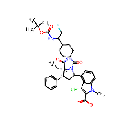 CC[C@@]1(C(N)=O)[C@@H](c2ccccc2)CC(c2cccc3c2c(Cl)c(C(=O)O)n3C)N1C(=O)[C@H]1CC[C@H](C(CF)NC(=O)OC(C)(C)C)CC1